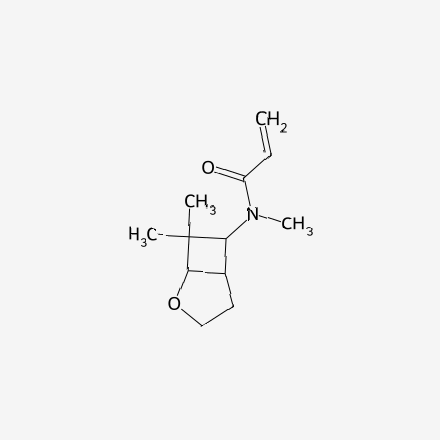 C=CC(=O)N(C)C1C2CCOC2C1(C)C